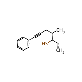 C=CC(S)C(C)CC#Cc1ccccc1